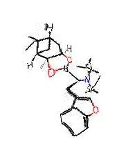 CC1(C)[C@@H]2C[C@H]3OB([C@H](Cc4coc5ccccc45)N([Si](C)(C)C)[Si](C)(C)C)O[C@@]3(C)[C@H]1C2